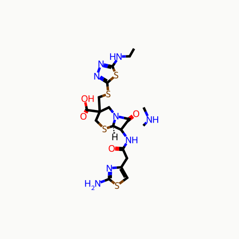 CCNc1nnc(SCC2(C(=O)O)CS[C@@H]3C(NC(=O)Cc4csc(N)n4)C(=O)N3C2)s1.CNC